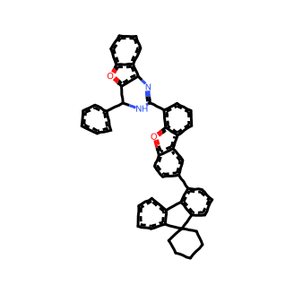 c1ccc(C2NC(c3cccc4c3oc3ccc(-c5cccc6c5-c5ccccc5C65CCCCC5)cc34)=Nc3c2oc2ccccc32)cc1